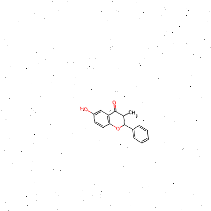 CC1C(=O)c2cc(O)ccc2OC1c1ccccc1